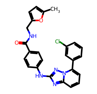 Cc1ccc(CNC(=O)c2ccc(Nc3nc4cccc(-c5cccc(Cl)c5)n4n3)cc2)o1